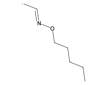 [CH2]C=NOCCCCC